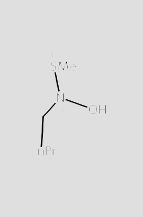 CCCCN(O)SC